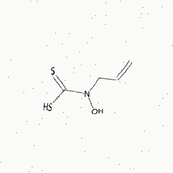 C=CCN(O)C(=S)S